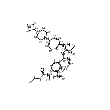 CCCC(=O)Nc1ccc(C(/N=C\N)=N/C(NC2=CCC=C(N3CCN(C4COC4)CC3)C=C2)=C(C)C)cc1NC